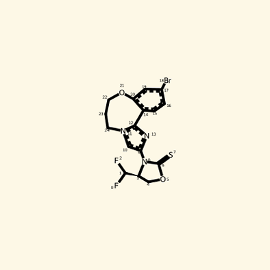 FC(F)[C@@H]1COC(=S)N1c1cn2c(n1)-c1ccc(Br)cc1OCCC2